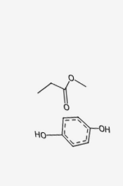 CCC(=O)OC.Oc1ccc(O)cc1